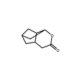 O=C1CC2CC3CC(O1)C2C3